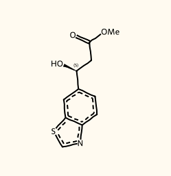 COC(=O)C[C@H](O)c1ccc2ncsc2c1